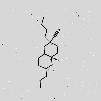 CCCC[C@]1(C#N)CC[C@@H]2C[C@@H](CCC)CCC2C1